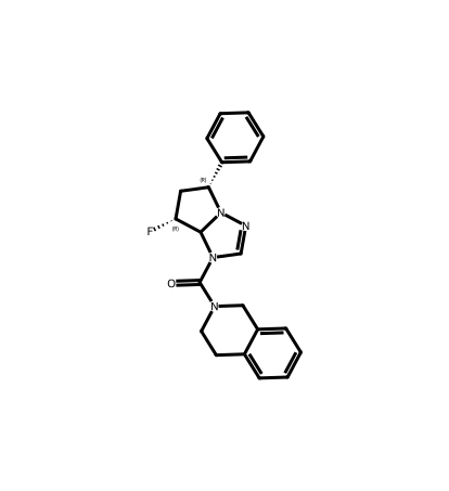 O=C(N1CCc2ccccc2C1)N1C=NN2C1[C@H](F)C[C@@H]2c1ccccc1